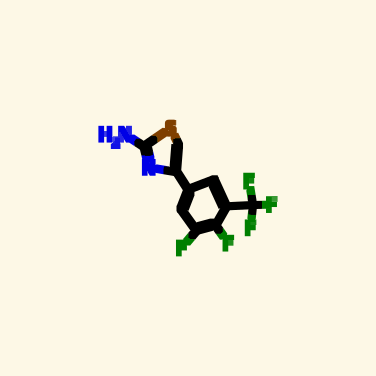 Nc1nc(-c2cc(F)c(F)c(C(F)(F)F)c2)cs1